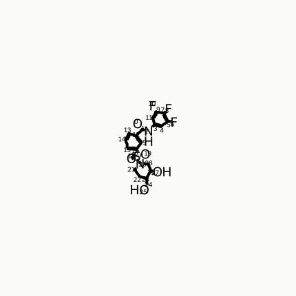 O=C(Nc1cc(F)c(F)c(F)c1)c1cccc(S(=O)(=O)N2CCC(CO)C(O)C2)c1